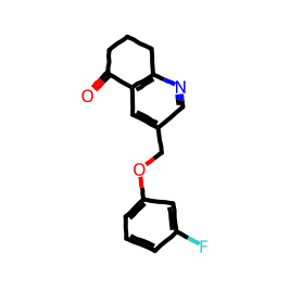 O=C1CCCc2ncc(COc3cccc(F)c3)cc21